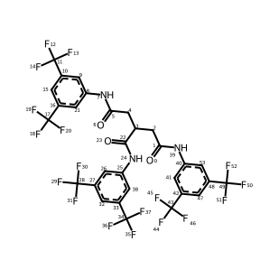 O=C(CC(CC(=O)Nc1cc(C(F)(F)F)cc(C(F)(F)F)c1)C(=O)Nc1cc(C(F)(F)F)cc(C(F)(F)F)c1)Nc1cc(C(F)(F)F)cc(C(F)(F)F)c1